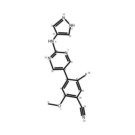 COc1cc(-c2cnc(Nc3cn[nH]c3)nc2)c(F)cc1C#N